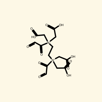 O=CC(=O)[N+](CC[N+](CC(=O)O)(CC(=O)O)C(=O)C=O)(CC(=O)O)CC(=O)O